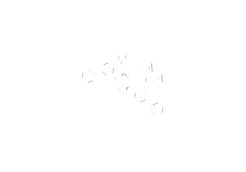 O=C(c1ccc(-c2ccccc2)cc1)C(CCO)[S+]([O-])C(CCO)C(=O)c1ccc(-c2ccccc2)cc1